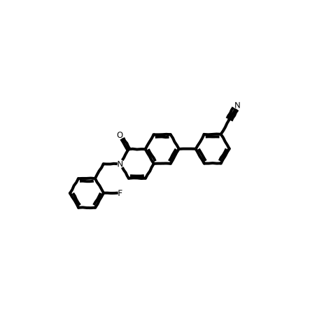 N#Cc1cccc(-c2ccc3c(=O)n(Cc4ccccc4F)ccc3c2)c1